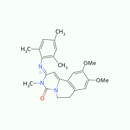 COc1cc2c(cc1OC)-c1c/c(=N\c3c(C)cc(C)cc3C)n(C)c(=O)n1CC2